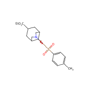 CCOC(=O)C1CC2CN(S(=O)(=O)c3ccc(C)cc3)CC(C1)C21SCCS1